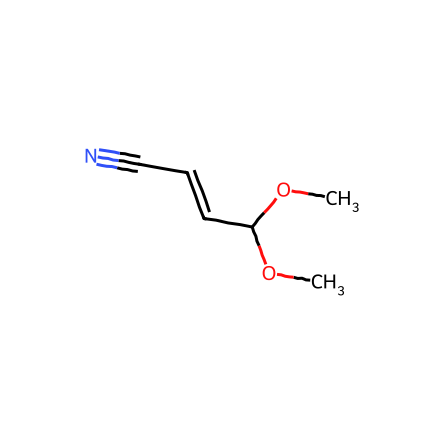 COC(/C=C/C#N)OC